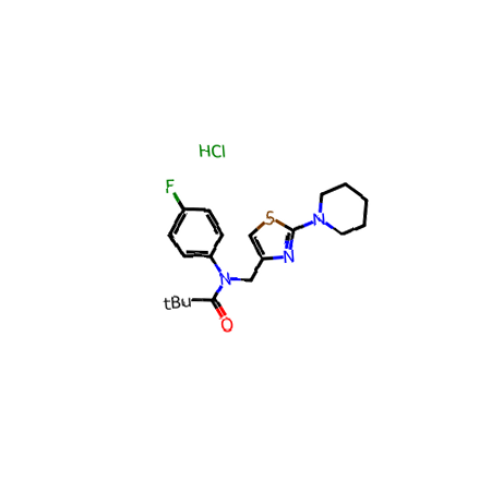 CC(C)(C)C(=O)N(Cc1csc(N2CCCCC2)n1)c1ccc(F)cc1.Cl